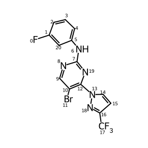 Fc1cccc(Nc2ncc(Br)c(-n3ccc(C(F)(F)F)n3)n2)c1